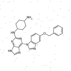 NC1CCC(Nc2nc(-n3cnc4cc(OCc5ccccc5)ccc43)c3nc[nH]c3n2)CC1